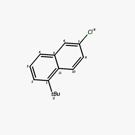 CC(C)(C)c1cccc2cc(Cl)ccc12